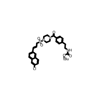 CC(C)(C)OC(=O)NCCc1ccc(C(=O)N2CCN(S(=O)(=O)CC=Cc3ccc4cc(Cl)ccc4c3)CC2)cc1